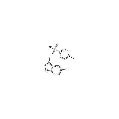 C[n+]1csc2ccc(F)cc21.Cc1ccc(S(=O)(=O)[O-])cc1